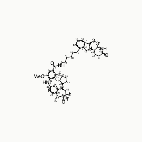 COc1cc(C(=O)NCCCCCCc2cccc3c2CN(C2CCC(=O)NC2=O)C3=O)c(F)cc1Nc1ncc2c(n1)N(C1CCCC1)CC(F)(F)C(=O)N2C